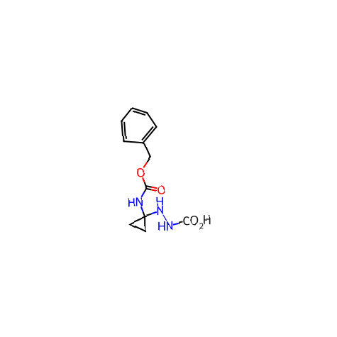 O=C(O)NNC1(NC(=O)OCc2ccccc2)CC1